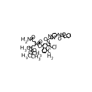 Cc1cccc2c(OC(=O)N(CCC(N)=O)CCN(C)C(=O)OC(C)(C)C)cc3c(c12)[C@H](CCl)CN3C(=O)c1cn2cc(NC(=O)c3cc4ccccc4o3)ccc2n1